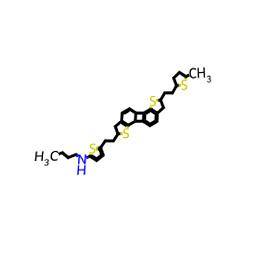 CCCCNc1ccc(CCC2CC3=C(S2)C2c4ccc5c(c4C2C=C3)SC(CCC2CCC(C)S2)C5)s1